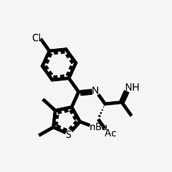 CCCCc1sc(C)c(C)c1/C(=N\[C@@H](CC(C)=O)C(C)=N)c1ccc(Cl)cc1